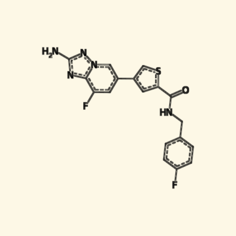 Nc1nc2c(F)cc(-c3csc(C(=O)NCc4ccc(F)cc4)c3)cn2n1